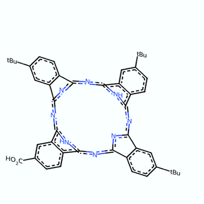 CC(C)(C)c1ccc2c(c1)-c1nc-2nc2[nH]c(nc3nc(nc4[nH]c(n1)c1ccc(C(C)(C)C)cc41)-c1ccc(C(C)(C)C)cc1-3)c1cc(C(=O)O)ccc21